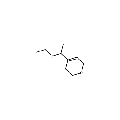 CCOC(C)C1=CCOCC1